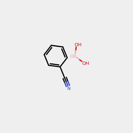 N#Cc1ccccc1.OBO